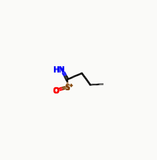 CCCC(=N)[S+]=O